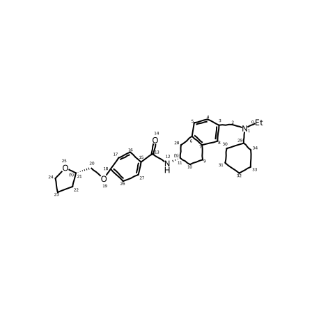 CCN(Cc1ccc2c(c1)CC[C@H](NC(=O)c1ccc(OC[C@@H]3CCCO3)cc1)C2)C1CCCCC1